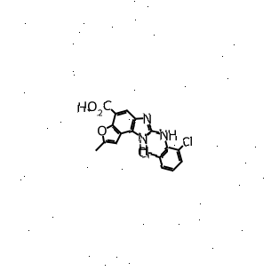 Cc1cc2c(o1)c(C(=O)O)cc1nc(Nc3c(Cl)cccc3Cl)[nH]c12